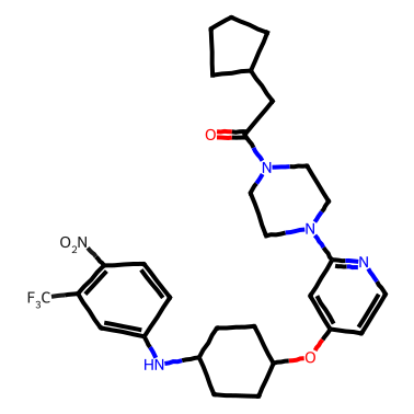 O=C(CC1CCCC1)N1CCN(c2cc(OC3CCC(Nc4ccc([N+](=O)[O-])c(C(F)(F)F)c4)CC3)ccn2)CC1